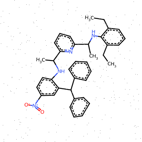 CCc1cccc(CC)c1NC(C)c1cccc(C(C)Nc2ccc([N+](=O)[O-])cc2C(c2ccccc2)c2ccccc2)n1